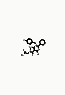 O=C(O)CNC(=O)c1c(O)n(Cc2ccc(Br)cc2)c(C2CCCCC2)nc1=O